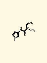 CC[C@H](C)C(=O)Nc1cn[nH]c1